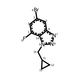 Fc1cc(Br)cc2nnn(CC3CC3)c12